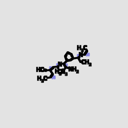 C#CC(/C=C\C)=C/C(C)=N/C(=C(\C)N)c1cccc(/C(C=C)=N/C=C\C)c1